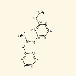 CCCN(Cc1ccccn1)Cc1cccc(CC(C)C)n1